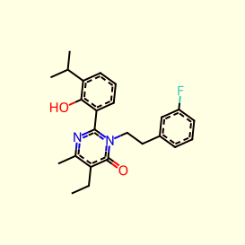 CCc1c(C)nc(-c2cccc(C(C)C)c2O)n(CCc2cccc(F)c2)c1=O